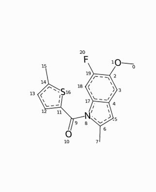 COc1cc2[c]c(C)n(C(=O)c3ccc(C)s3)c2cc1F